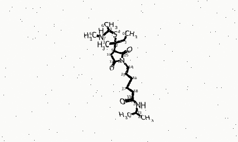 CCC(C)(SC(C)NC)C1CC(=O)N(CCCCCC(=O)NC(C)C)C1=O